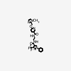 Cn1ccnc1COc1ccc(C(=O)NCCNC(=O)c2cn(-c3ccccc3)nc2C(F)(F)F)cn1